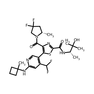 C[C@H](NC(=O)c1nc(C(=O)N2CC(F)(F)C[C@@H]2C)c(-c2cnc(NC3(C)CCC3)cc2C(F)F)s1)C(C)(C)O